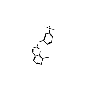 Cc1cccc2cnc(Nc3cccc(C(F)(F)F)c3)nc12